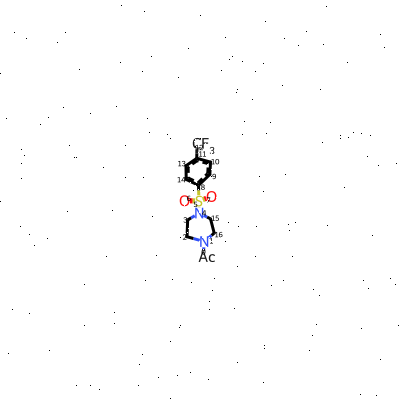 CC(=O)N1CCN(S(=O)(=O)c2ccc(C(F)(F)F)cc2)CC1